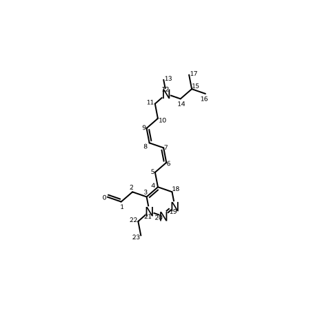 C=CCC1=C(C/C=C\C=C/CCN(C)CC(C)C)CN=NN1CC